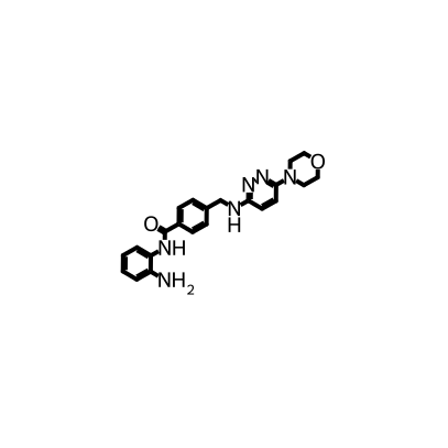 Nc1ccccc1NC(=O)c1ccc(CNc2ccc(N3CCOCC3)nn2)cc1